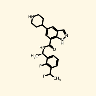 CC(F)c1cccc([C@@H](C)NC(=O)c2cc(C3CCNCC3)cc3cn[nH]c23)c1F